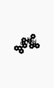 c1ccc(C2=NC(c3cccc4oc5c(-c6cc7ccccc7c7ccccc67)cccc5c34)=NC(c3cccc4c3oc3ccccc34)N2)cc1